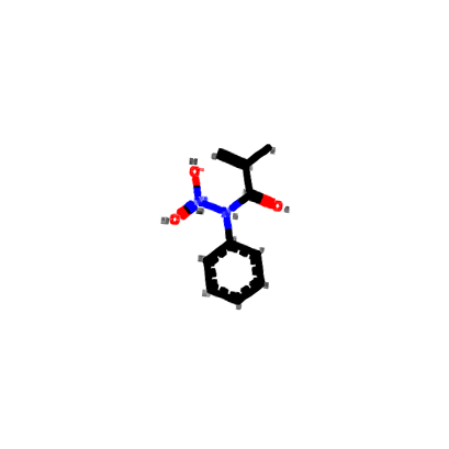 C=C(C)C(=O)N(c1ccccc1)[N+](=O)[O-]